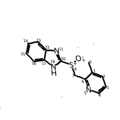 Cc1cccnc1C[S+]([O-])c1nc2ccccc2[nH]1